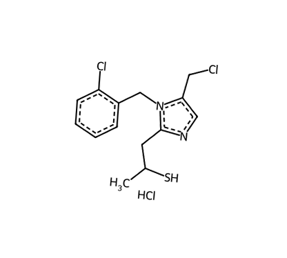 CC(S)Cc1ncc(CCl)n1Cc1ccccc1Cl.Cl